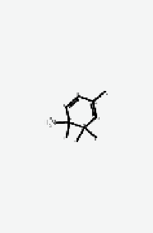 CC1=CC(C)(C)C(C)(N)C=C1